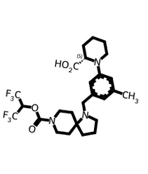 Cc1cc(CN2CCCC23CCN(C(=O)OC(C(F)(F)F)C(F)(F)F)CC3)cc(N2CCCC[C@H]2C(=O)O)c1